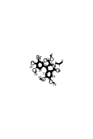 CCCn1c(C(=O)OC)c(-c2cc(Br)c(OC)c(OC)c2)c2cc(OC)c(OC)cc2c1=O